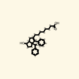 C=C(c1ccccc1)C12CCC(O)C1CC(CCCCCCCC(=O)O)=C2c1ccccc1